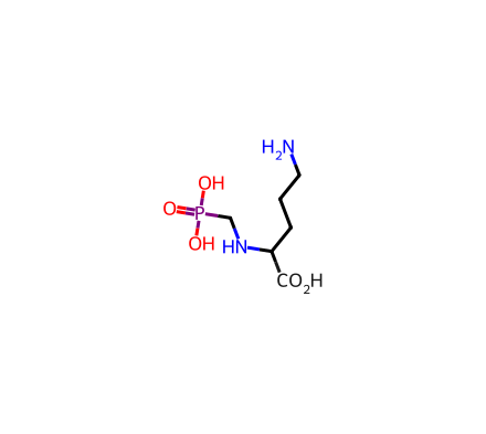 NCCCC(NCP(=O)(O)O)C(=O)O